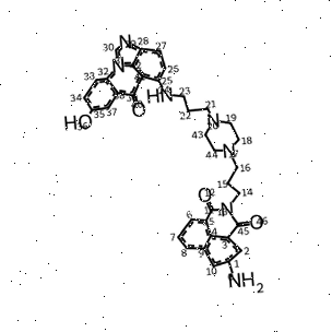 Nc1cc2c3c(cccc3c1)C(=O)N(CCCN1CCN(CCCNc3ccc4ncn5c6ccc(O)cc6c(=O)c3c45)CC1)C2=O